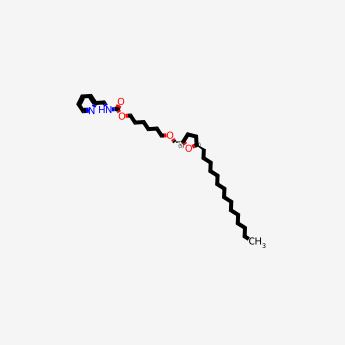 CCCCCCCCCCCCCCC[C@@H]1CC[C@@H](COCCCCCCOC(=O)NCc2ccccn2)O1